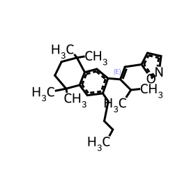 CCCCc1cc2c(cc1/C(=C/c1ccno1)C(C)C)C(C)(C)CCC2(C)C